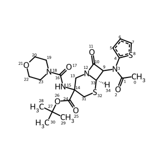 CC(=O)N(c1cccs1)C1C(=O)N2CC(NC(=O)N3CCOCC3)(C(=O)OC(C)(C)C)CS[C@H]12